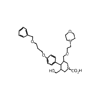 O=C(O)N1CC(CO)C(c2ccc(OCCCOCc3ccccc3)cc2)C(COCCN2CCOCC2)C1